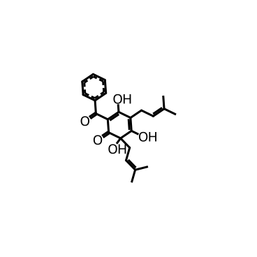 CC(C)=CCC1=C(O)C(O)(CC=C(C)C)C(=O)C(C(=O)c2ccccc2)=C1O